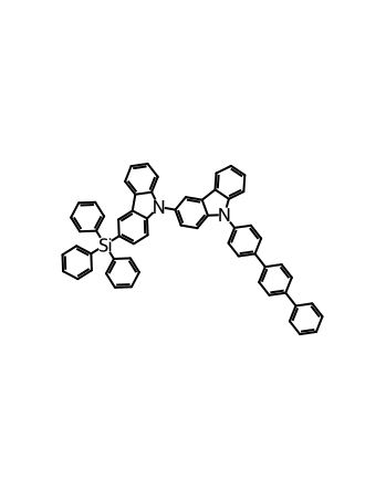 c1ccc(-c2ccc(-c3ccc(-n4c5ccccc5c5cc(-n6c7ccccc7c7cc([Si](c8ccccc8)(c8ccccc8)c8ccccc8)ccc76)ccc54)cc3)cc2)cc1